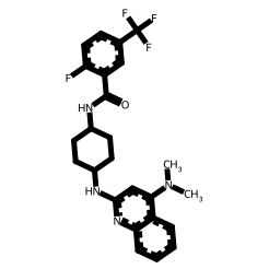 CN(C)c1cc(NC2CCC(NC(=O)c3cc(C(F)(F)F)ccc3F)CC2)nc2ccccc12